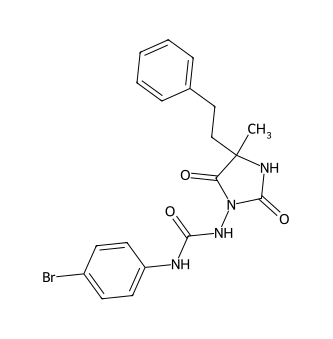 CC1(CCc2ccccc2)NC(=O)N(NC(=O)Nc2ccc(Br)cc2)C1=O